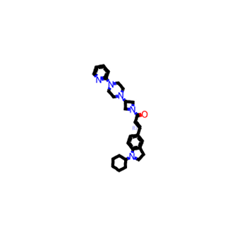 O=C(/C=C/c1ccc2c(c1)CCN2C1CCCCC1)N1CC(N2CCN(c3ccccn3)CC2)C1